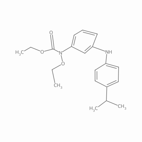 CCOC(=O)N(OCC)c1cccc(Nc2ccc(C(C)C)cc2)c1